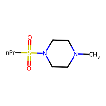 CCCS(=O)(=O)N1CCN(C)CC1